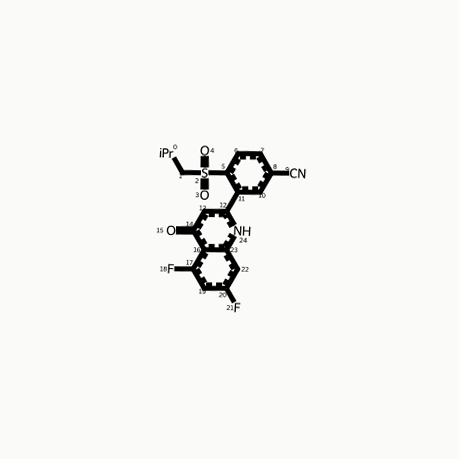 CC(C)CS(=O)(=O)c1ccc(C#N)cc1-c1cc(=O)c2c(F)cc(F)cc2[nH]1